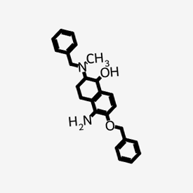 CN(Cc1ccccc1)C1CCc2c(ccc(OCc3ccccc3)c2N)C1O